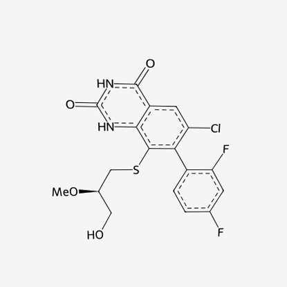 CO[C@H](CO)CSc1c(-c2ccc(F)cc2F)c(Cl)cc2c(=O)[nH]c(=O)[nH]c12